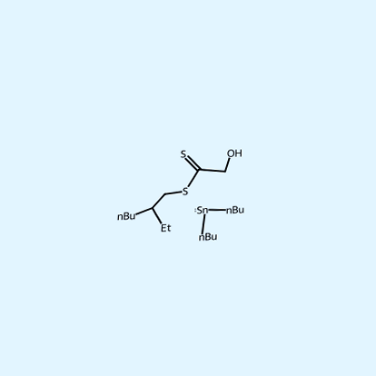 CCCCC(CC)CSC(=S)CO.CCC[CH2][Sn][CH2]CCC